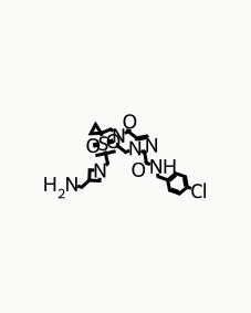 CC(C)(CN1CC(CN)C1)S(=O)(=O)C1(CN2CCn3c(cnc3C(=O)NCc3ccc(Cl)cc3)C2=O)CC1